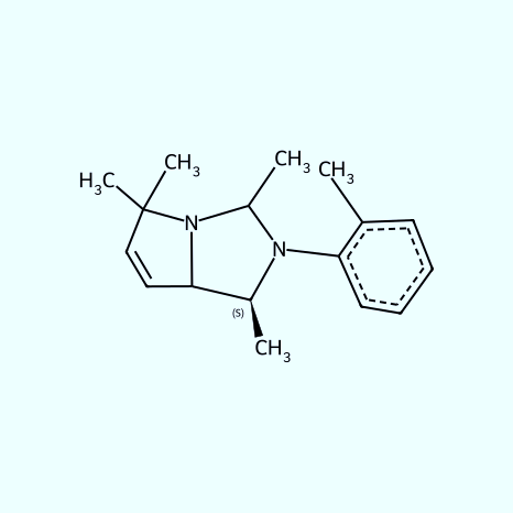 Cc1ccccc1N1C(C)N2C(C=CC2(C)C)[C@@H]1C